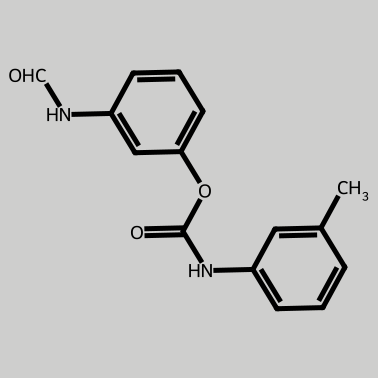 Cc1cccc(NC(=O)Oc2cccc(NC=O)c2)c1